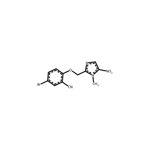 Cn1c([N+](=O)[O-])cnc1COc1ccc(Br)cc1C#N